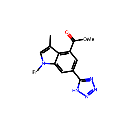 COC(=O)c1cc(-c2nnn[nH]2)cc2c1c(C)cn2C(C)C